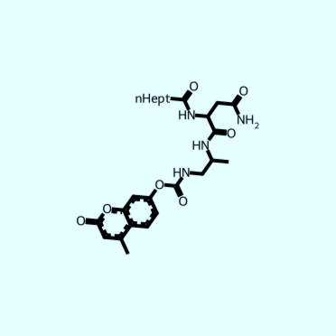 CCCCCCCC(=O)NC(CC(N)=O)C(=O)NC(C)CNC(=O)Oc1ccc2c(C)cc(=O)oc2c1